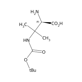 CC(C)(C)OC(=O)NC(C)(C)[C@@H](N)C(=O)O